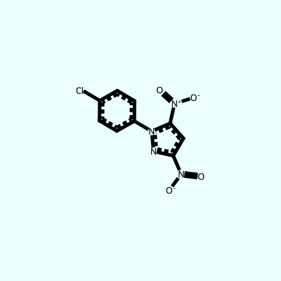 O=[N+]([O-])c1cc([N+](=O)[O-])n(-c2ccc(Cl)cc2)n1